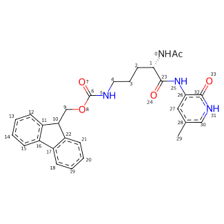 CC(=O)N[C@@H](CCCNC(=O)OCC1c2ccccc2-c2ccccc21)C(=O)Nc1cc(C)c[nH]c1=O